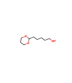 OCCCCCC1OCCCO1